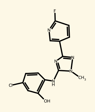 Cn1nc(-c2ccc(F)nc2)nc1Nc1ccc(Cl)cc1O